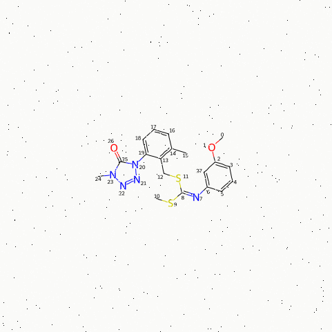 COc1cccc(N=C(SC)SCc2c(C)cccc2-n2nnn(C)c2=O)c1